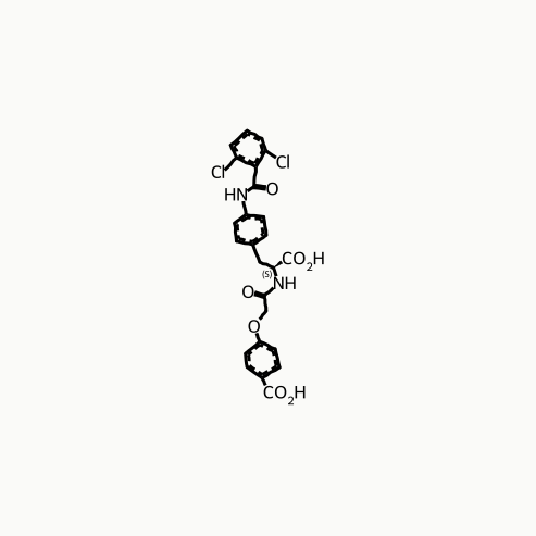 O=C(COc1ccc(C(=O)O)cc1)N[C@@H](Cc1ccc(NC(=O)c2c(Cl)cccc2Cl)cc1)C(=O)O